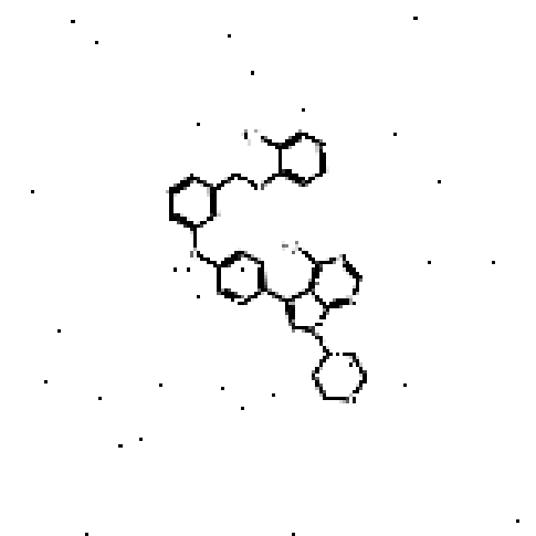 Cc1ccccc1OCc1cccc(Oc2ccc(-c3nn(C4CCOCC4)c4ncnc(N)c34)cc2)c1